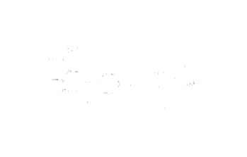 COC(C)(C)C1COCC(COc2ccc(-c3cc(C(N)=O)c(=O)[nH]c3C(F)(F)F)cc2)O1